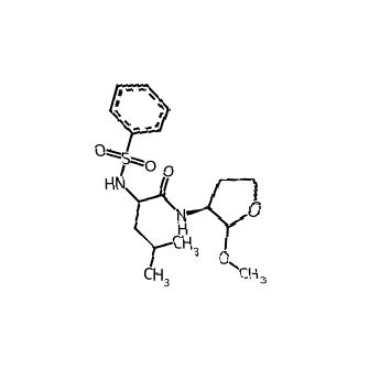 COC1OCC[C@@H]1NC(=O)C(CC(C)C)NS(=O)(=O)c1ccccc1